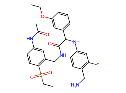 CCOc1cccc(C(Nc2ccc(CN)c(F)c2)C(=O)NCc2cc(NC(C)=O)ccc2S(=O)(=O)CC)c1